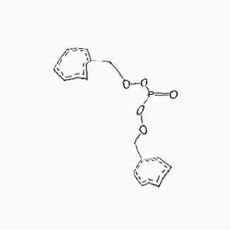 O=[P](OOCc1ccccc1)OOCc1ccccc1